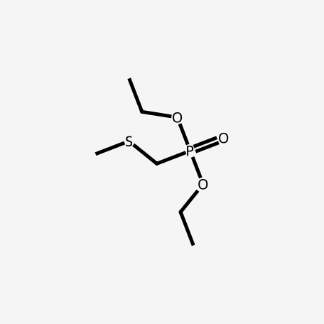 CCOP(=O)(CSC)OCC